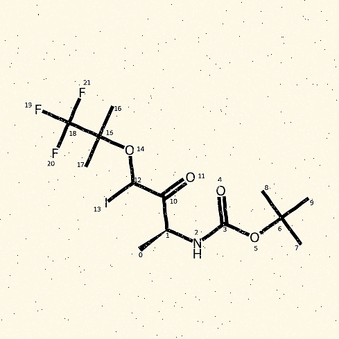 C[C@H](NC(=O)OC(C)(C)C)C(=O)C(I)OC(C)(C)C(F)(F)F